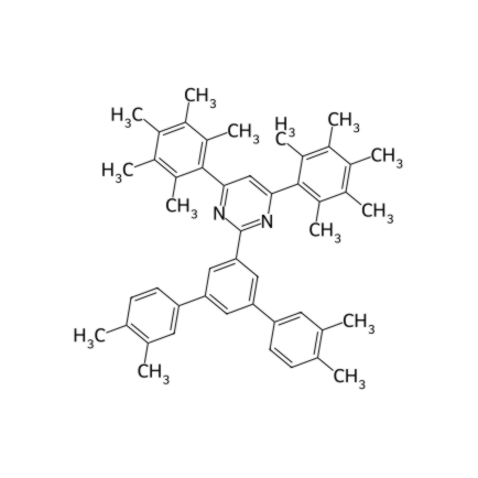 Cc1ccc(-c2cc(-c3ccc(C)c(C)c3)cc(-c3nc(-c4c(C)c(C)c(C)c(C)c4C)cc(-c4c(C)c(C)c(C)c(C)c4C)n3)c2)cc1C